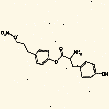 NC(Cc1ccc(O)cc1)C(=O)Oc1ccc(CCCO[N+](=O)[O-])cc1